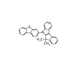 CC1(C)c2ccccc2-c2c1n(-c1ccc3c(c1)sc1ccccc13)c1ccccc21